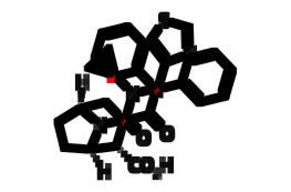 O=C(O)[C@@H]1[C@H]2CC[C@@H](CN1C(=O)N(c1ccccc1)c1ccccc1)N2C(=O)N(Cc1cscn1)C1CC1